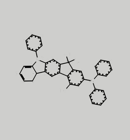 Cc1cc(N(c2ccccc2)c2ccccc2)cc2c1-c1cc3c(cc1C2(C)C)N(c1ccccc1)C1=CC=CCC13